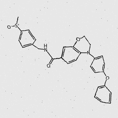 C[S+]([O-])c1ccc(CNC(=O)c2ccc3c(c2)OCCN3c2ccc(Oc3ccccc3)cc2)cc1